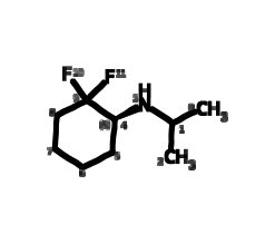 CC(C)N[C@H]1CCCCC1(F)F